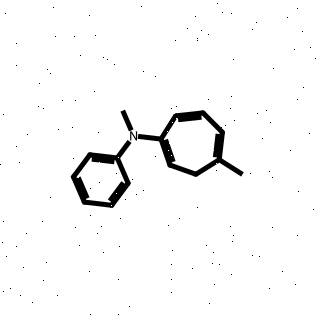 CC1=CC=CC(N(C)c2ccccc2)=CC1